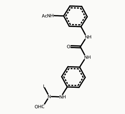 CC(=O)Nc1cccc(NC(=O)Nc2ccc(NN(I)C=O)cc2)c1